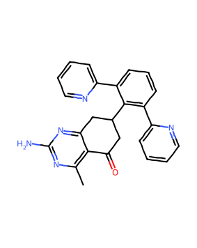 Cc1nc(N)nc2c1C(=O)CC(c1c(-c3ccccn3)cccc1-c1ccccn1)C2